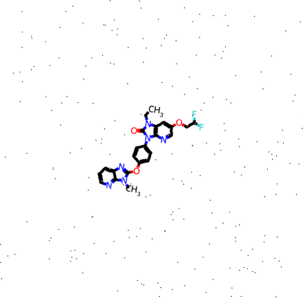 CCn1c(=O)n(-c2ccc(Oc3nc4cccnc4n3C)cc2)c2ncc(OCC(F)F)cc21